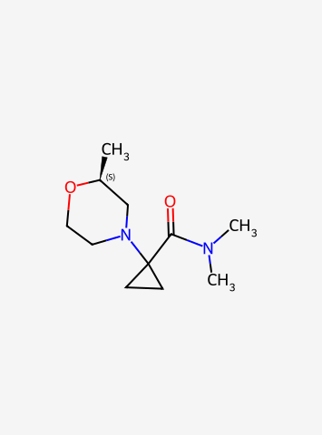 C[C@H]1CN(C2(C(=O)N(C)C)CC2)CCO1